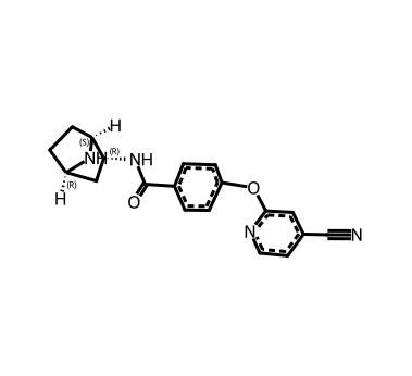 N#Cc1ccnc(Oc2ccc(C(=O)N[C@@H]3C[C@H]4CC[C@@H]3N4)cc2)c1